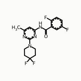 Cc1cc(NC(=O)c2cc(F)ccc2F)nc(N2CCC(F)(F)CC2)n1